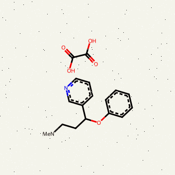 CNCCC(Oc1ccccc1)c1cccnc1.O=C(O)C(=O)O